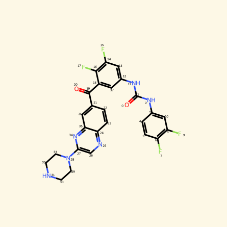 O=C(Nc1ccc(F)c(F)c1)Nc1cc(F)c(F)c(C(=O)c2ccc3ncc(N4CCNCC4)nc3c2)c1